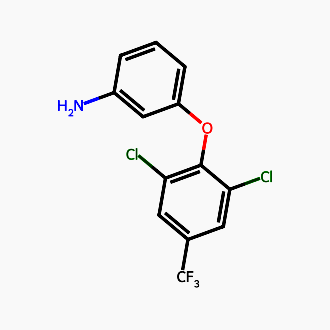 Nc1cccc(Oc2c(Cl)cc(C(F)(F)F)cc2Cl)c1